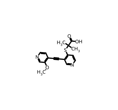 COc1cnccc1C#Cc1cnccc1SC(C)(C)C(=O)O